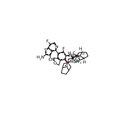 C[C@@H](O)CN1CC2CCC(C1)N2c1nc(N2C[C@H]3CC[C@@H](C2)C3N(C)C)nc2c(F)c(-c3ncc(F)c4sc(N)c(C#N)c34)c3c(c12)COC3